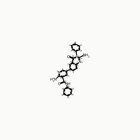 Nc1ncc(-c2ccc3nc(N)n(-c4ccccc4)c(=O)c3c2)cc1C(=O)Nc1ccccc1